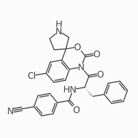 N#Cc1ccc(C(=O)N[C@@H](Cc2ccccc2)C(=O)N2C(=O)OC3(CCNC3)c3cc(Cl)ccc32)cc1